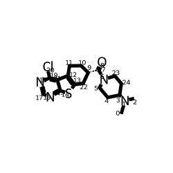 CN(C)C1CCN(C(=O)[C@H]2CCc3c(sc4ncnc(Cl)c34)C2)CC1